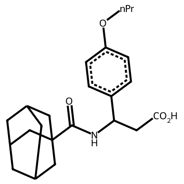 CCCOc1ccc(C(CC(=O)O)NC(=O)C23CC4CC(CC(C4)C2)C3)cc1